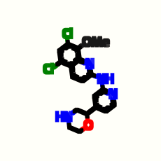 COc1c(Cl)cc(Cl)c2ccc(Nc3cc(C4CNCCO4)ccn3)nc12